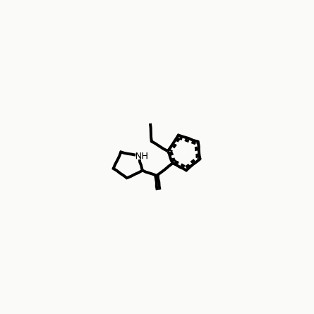 C=C(c1ccccc1CC)C1CCCN1